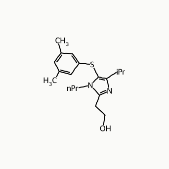 CCCn1c(CCO)nc(C(C)C)c1Sc1cc(C)cc(C)c1